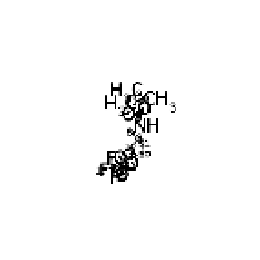 CC(C)(C)OC(=O)NCC1C=C(OS(=O)(=O)C(F)(F)F)CC1